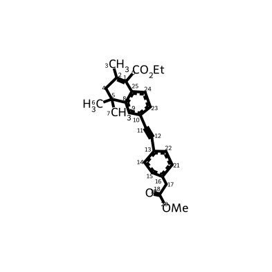 CCOC(=O)C1=C(C)CC(C)(C)c2cc(C#Cc3ccc(CC(=O)OC)cc3)ccc21